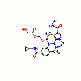 CCCNC(=O)c1cn2ncnc(N(C(=O)OCOC(=O)CO)c3cc(C(=O)NC4CC4)ccc3C)c2c1C